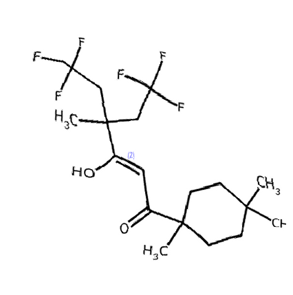 CC1(C)CCC(C)(C(=O)/C=C(\O)C(C)(CC(F)(F)F)CC(F)(F)F)CC1